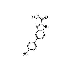 CC[C@H](N)c1nc2cc(-c3ccc(C#N)cc3)ccc2[nH]1